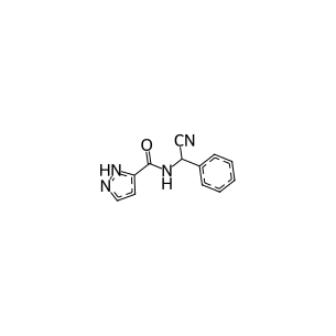 N#CC(NC(=O)c1ccn[nH]1)c1ccccc1